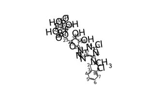 CN(Cc1ccccc1Cl)c1nc(Cl)nc2c1nnn2[C@@H]1O[C@H](COP(=O)(O)C(F)(F)P(=O)(O)O)[C@@H](O)[C@H]1O